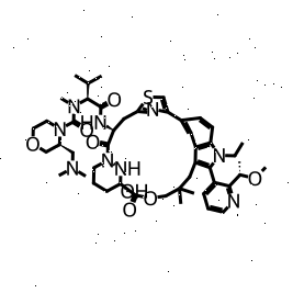 CCn1c(-c2cccnc2[C@H](C)OC)c2c3cc(ccc31)-c1csc(n1)C[C@H](NC(=O)[C@H](C(C)C)N(C)C(=O)N1CCOC[C@@H]1CN(C)C)C(=O)N1CCC[C@@](O)(N1)C(=O)OCC(C)(C)C2